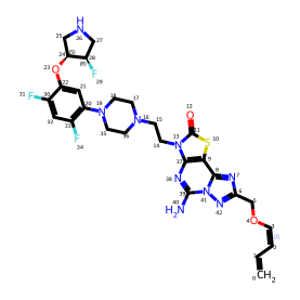 C=C/C=C\OCc1nc2c3sc(=O)n(CCN4CCN(c5cc(O[C@H]6CNC[C@H]6F)c(F)cc5F)CC4)c3nc(N)n2n1